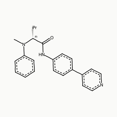 CC(C)[C@H](C(=O)Nc1ccc(-c2ccncc2)cc1)N(C)c1ccccc1